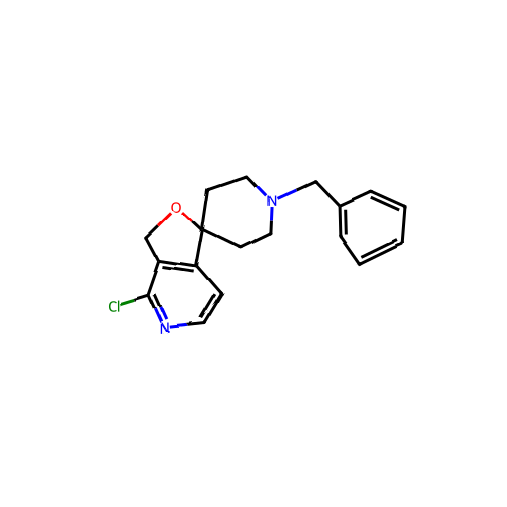 Clc1nccc2c1COC21CCN(Cc2ccccc2)CC1